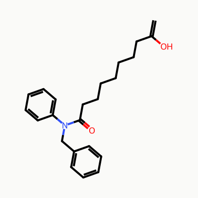 C=C(O)CCCCCCCC(=O)N(Cc1ccccc1)c1ccccc1